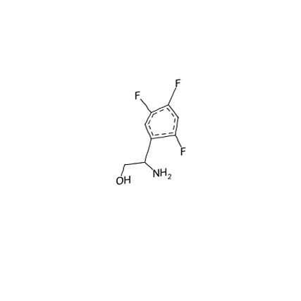 NC(CO)c1cc(F)c(F)cc1F